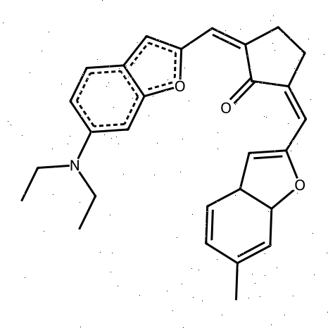 CCN(CC)c1ccc2cc(C=C3CCC(=CC4=CC5C=CC(C)=CC5O4)C3=O)oc2c1